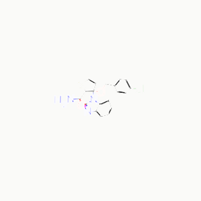 NC(=O)C1SC=CC1(OCc1ccc(Cl)cc1)n1cnc2ccccc21